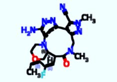 C/C=C\C(F)=C/C1C(=O)N(C)Cc2nn(C)c(C#N)c2-c2cc(c(N)nn2)N2CCOC[C@H]12